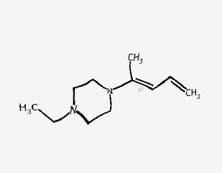 C=C/C=C(\C)N1CCN(CC)CC1